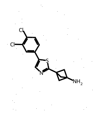 NC12CC(c3ncc(-c4ccc(Cl)c(Cl)c4)s3)(C1)C2